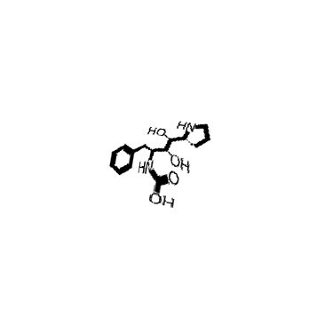 O=C(O)N[C@@H](Cc1ccccc1)[C@@H](O)[C@H](O)[C@H]1CCCN1